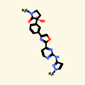 CN1CC[C@@](O)(c2cccc(-c3coc(-c4ccnc(Nc5ccn(C)n5)n4)n3)c2)C1=O